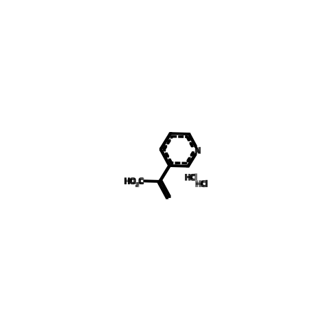 C=C(C(=O)O)c1cccnc1.Cl.Cl